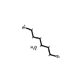 CC(C)CCCCC[CH2][Ti].O